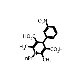 CCCN1C(C)=C(C(=O)O)C(c2cccc([N+](=O)[O-])c2)C(C(=O)O)=C1C